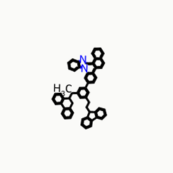 CC(c1cc(CCC2c3ccccc3-c3ccccc32)cc(-c2ccc3c4ccc5ccccc5c4c4nc5ccccc5n4c3c2)c1)C1Cc2ccccc2-c2ccccc21